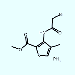 COC(=O)c1scc(C)c1NC(=O)CBr.P